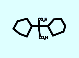 O=C(O)C(C(=O)O)(C1CCCCC1)C1CCCCC1